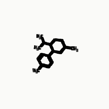 Cc1ccc(C2CC(C)CCC2C(C)C)cc1